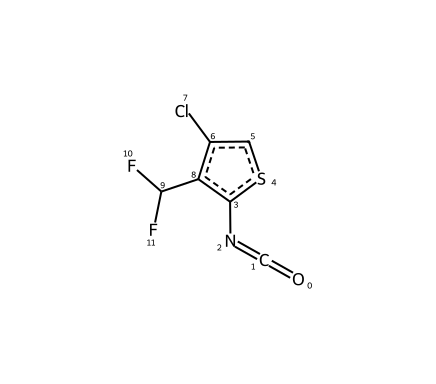 O=C=Nc1scc(Cl)c1C(F)F